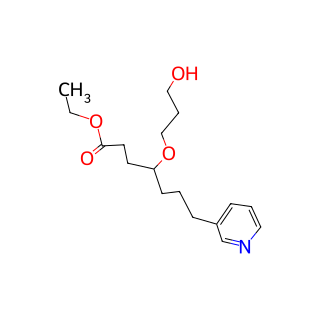 CCOC(=O)CCC(CCCc1cccnc1)OCCCO